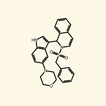 O=S(=O)(Cc1ccccc1)N1C=Cc2ccccc2C1c1c[nH]c2ccc(N3CCOCC3)cc12